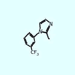 Cc1n[c]cn1-c1cccc(C(F)(F)F)c1